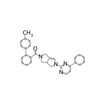 Cc1ccc(-c2ccccc2C(=O)N2CC3=CN(c4nccc(-c5ccccc5)n4)CC3C2)cc1